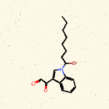 CCCCCCCC(Br)n1cc(C(=O)C=O)c2ccccc21